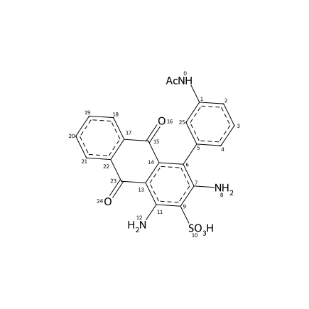 CC(=O)Nc1cccc(-c2c(N)c(S(=O)(=O)O)c(N)c3c2C(=O)c2ccccc2C3=O)c1